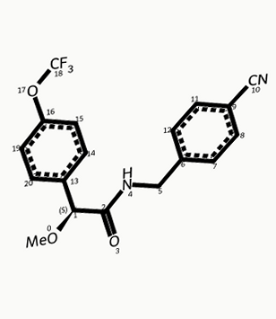 CO[C@H](C(=O)NCc1ccc(C#N)cc1)c1ccc(OC(F)(F)F)cc1